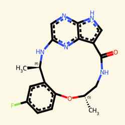 C[C@H]1CNC(=O)c2c[nH]c3ncc(nc23)N[C@H](C)c2cc(F)ccc2O1